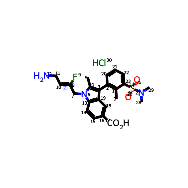 Cc1c(-c2c(C)n(C/C(F)=C/CN)c3ccc(C(=O)O)cc23)cccc1S(=O)(=O)N(C)C.Cl